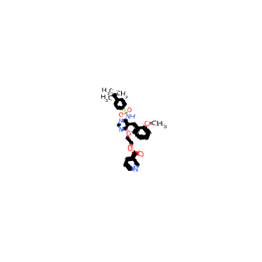 COc1ccccc1Cc1c(NS(=O)(=O)c2ccc(C(C)(C)C)cc2)ncnc1OCCOC(=O)c1cccnc1